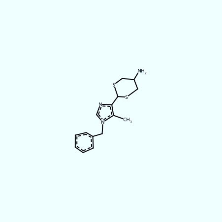 Cc1c(C2SCC(N)CS2)ncn1Cc1ccccc1